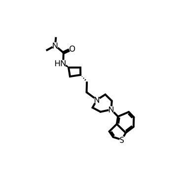 CN(C)C(=O)N[C@H]1C[C@H](CCN2CCN(c3cccc4sccc34)CC2)C1